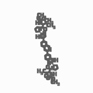 COC(=O)N[C@H](C(=O)N1CCC[C@H]1c1ncc(-c2ccc3cc(-c4ccc5nc([C@@H]6CCCN6C(=O)[C@@H](NC(=O)OC)C(C)C)[nH]c5c4)ncc3c2)[nH]1)C(C)C